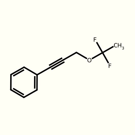 CC(F)(F)OCC#Cc1ccccc1